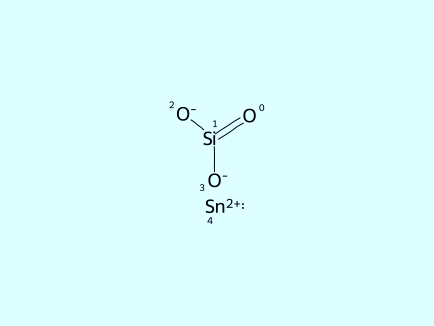 O=[Si]([O-])[O-].[Sn+2]